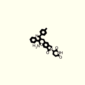 Cc1ccc(-c2nc3ccccc3c(C(N)=O)c2Cc2ccc3c(c2)CN(C2CCC(=O)NC2=O)C3=O)cc1